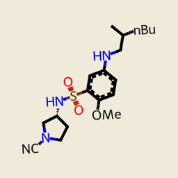 CCCCC(C)CNc1ccc(OC)c(S(=O)(=O)N[C@@H]2CCN(C#N)C2)c1